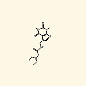 CCN(CC)CC(=O)NCn1cnc2c1c(=O)n(C)c(=O)n2C